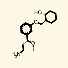 NCC[C@@H](OI)c1cccc(OC[C@@H]2CCCC[C@H]2O)c1